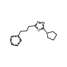 c1ccc(CCCc2nnc(N3CCCC3)o2)cc1